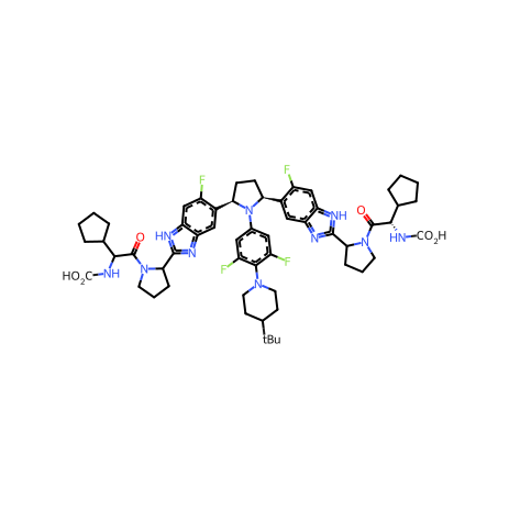 CC(C)(C)C1CCN(c2c(F)cc(N3[C@@H](c4cc5nc(C6CCCN6C(=O)C(NC(=O)O)C6CCCC6)[nH]c5cc4F)CC[C@H]3c3cc4nc(C5CCCN5C(=O)[C@@H](NC(=O)O)C5CCCC5)[nH]c4cc3F)cc2F)CC1